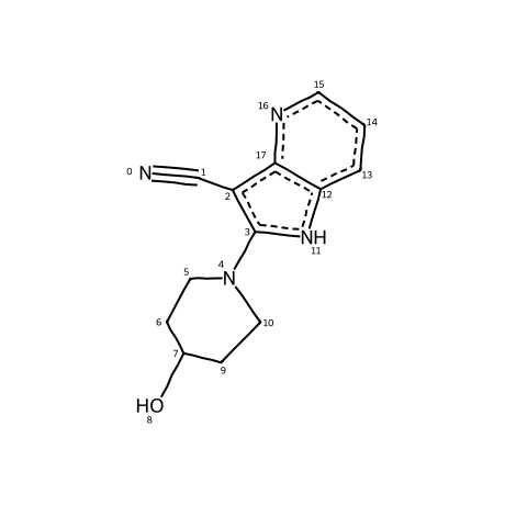 N#Cc1c(N2CCC(O)CC2)[nH]c2cccnc12